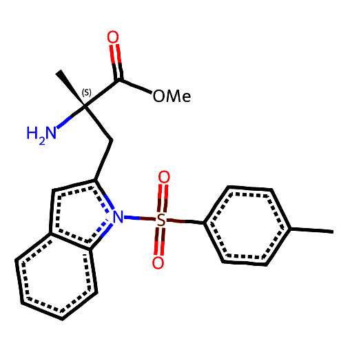 COC(=O)[C@@](C)(N)Cc1cc2ccccc2n1S(=O)(=O)c1ccc(C)cc1